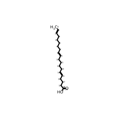 CC=CCCCCCC=CCCCCC=CCCCC(=O)O